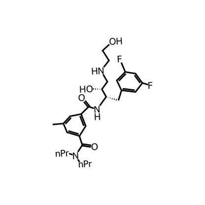 CCCN(CCC)C(=O)c1cc(C)cc(C(=O)N[C@@H](Cc2cc(F)cc(F)c2)[C@H](O)CNCCO)c1